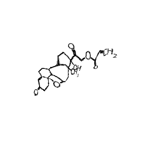 C=CC(=O)OCC(=O)C1(O)CCC2C3CCC4=CC(=O)CCC45OC(CC21C)C35